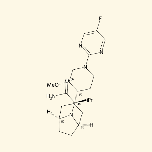 CO[C@@H]1CN(c2ncc(F)cn2)CC[C@@H]1C1C[C@H]2CC[C@@H](C1)N2[C@@H](C(N)=O)C(C)C